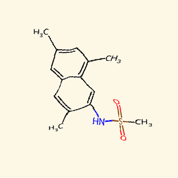 Cc1cc(C)c2cc(NS(C)(=O)=O)c(C)cc2c1